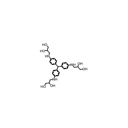 OCC(O)CNc1ccc(C(c2ccc(NCC(O)CO)cc2)c2ccc(NCC(O)CO)cc2)cc1